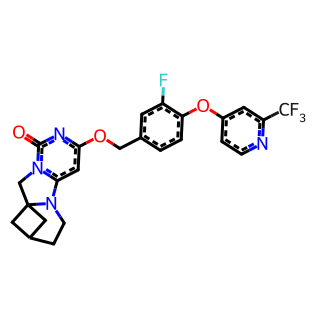 O=c1nc(OCc2ccc(Oc3ccnc(C(F)(F)F)c3)c(F)c2)cc2n1CC13CC(CCN21)C3